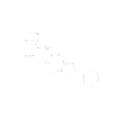 O=C(CN1CC(c2ccccc2)CC1=O)NC12CC3CC(CC(C3)C1)C2